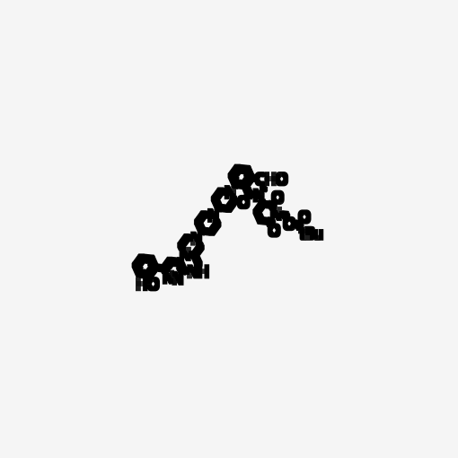 CN(C(=O)c1c(C=O)cccc1N1CCC(N2CCC(N3CCN4c5cc(-c6ccccc6O)nnc5NCC4C3)CC2)CC1)C1CCC(=O)N(COC(=O)C(C)(C)C)C1=O